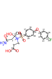 CC(O)(CC(N)=O)N(CCC(=O)O)S(=O)(=O)c1ccc(Oc2ccc(F)cc2)cc1